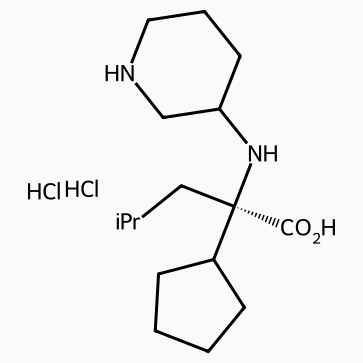 CC(C)C[C@](NC1CCCNC1)(C(=O)O)C1CCCC1.Cl.Cl